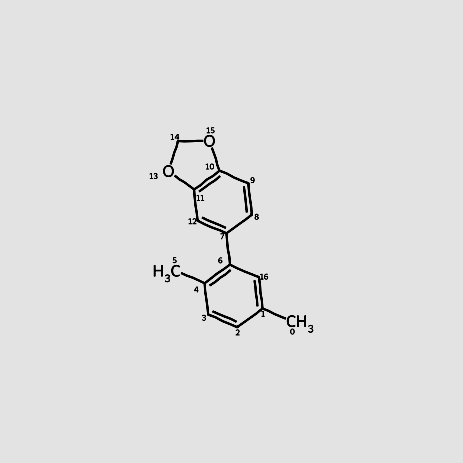 Cc1ccc(C)c(-c2ccc3c(c2)OCO3)c1